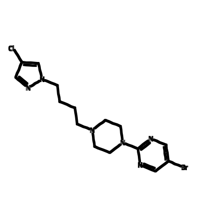 Clc1cnn(CCCCN2CCN(c3ncc(Br)cn3)CC2)c1